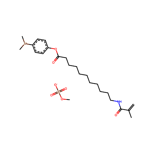 C=C(C)C(=O)NCCCCCCCCCCC(=O)Oc1ccc([S+](C)C)cc1.COS(=O)(=O)[O-]